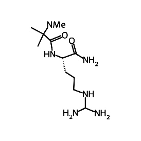 CNC(C)(C)C(=O)N[C@@H](CCCNC(N)N)C(N)=O